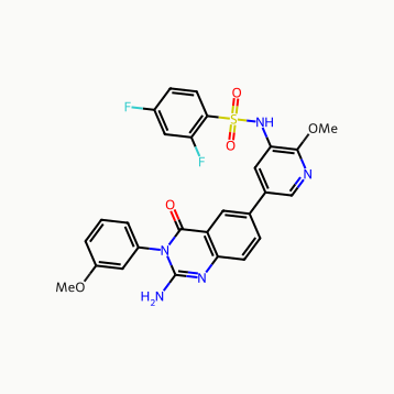 COc1cccc(-n2c(N)nc3ccc(-c4cnc(OC)c(NS(=O)(=O)c5ccc(F)cc5F)c4)cc3c2=O)c1